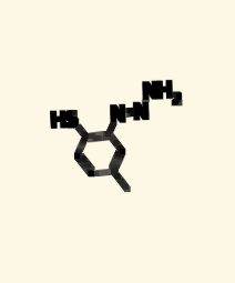 Cc1ccc(S)c(N=NN)c1